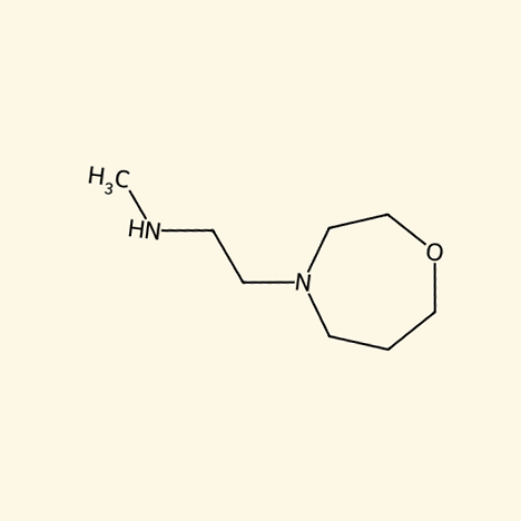 CNCCN1CCCOCC1